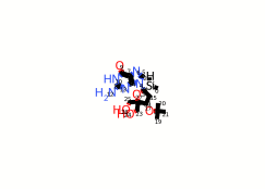 C[SiH](C)[C@]1(n2cnc3c(=O)[nH]c(N)nc32)C[C@H](OC(C)(C)C)C(CO)(CO)O1